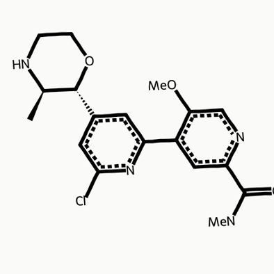 CNC(=O)c1cc(-c2cc([C@H]3OCCN[C@@H]3C)cc(Cl)n2)c(OC)cn1